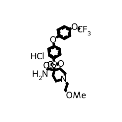 COCCN1CCC(C(N)=O)(S(=O)(=O)c2ccc(Oc3ccc(OC(F)(F)F)cc3)cc2)CC1.Cl